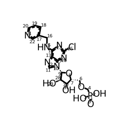 O=P(O)(O)COC[C@H]1O[C@@H](n2cnc3c(NCc4cccnc4)nc(Cl)nc32)[C@H](O)[C@@H]1O